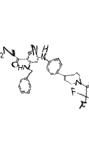 NC(=O)c1cnc(Nc2ccc(C3CCN(C(=O)C(F)(F)F)CC3)cc2)cc1NCc1ccccc1